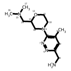 Cc1cc(CN)nnc1N1CCOC(CN(C)C)C1